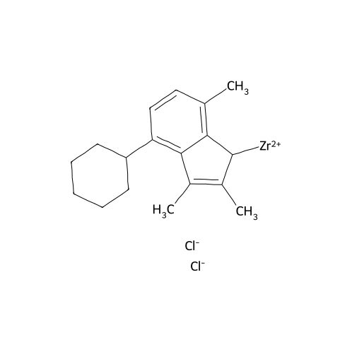 CC1=C(C)[CH]([Zr+2])c2c(C)ccc(C3CCCCC3)c21.[Cl-].[Cl-]